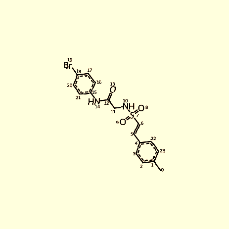 Cc1ccc(C=CS(=O)(=O)NCC(=O)Nc2ccc(Br)cc2)cc1